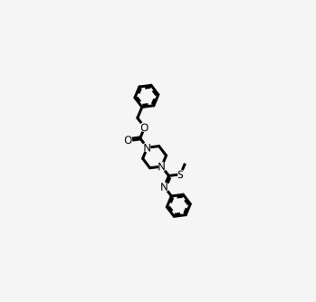 CSC(=Nc1ccccc1)N1CCN(C(=O)OCc2ccccc2)CC1